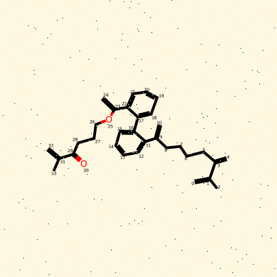 C=C(C)C(=C)CCCCC(=C)c1ccccc1-c1ccccc1C(=C)OCCCC(=O)C(=C)C